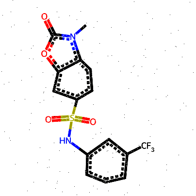 Cn1c(=O)oc2cc(S(=O)(=O)Nc3cccc(C(F)(F)F)c3)ccc21